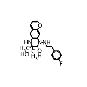 CC1(C)NC2=C(C=C3OC=CC=C3C2)N(NCCc2ccc(F)cc2)[C@@H]1O.Cl